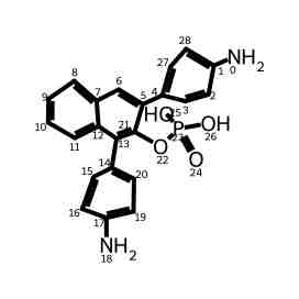 Nc1ccc(-c2cc3ccccc3c(-c3ccc(N)cc3)c2OP(=O)(O)O)cc1